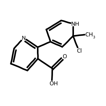 CC1(Cl)C=C(c2ncccc2C(=O)O)C=CN1